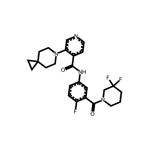 O=C(Nc1ccc(F)c(C(=O)N2CCCC(F)(F)C2)c1)c1ccncc1N1CCC2(CC1)CC2